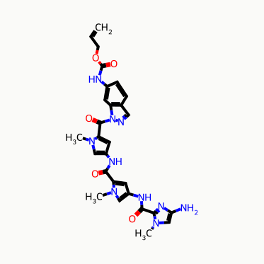 C=CCOC(=O)Nc1ccc2cnn(C(=O)c3cc(NC(=O)c4cc(NC(=O)c5nc(N)cn5C)cn4C)cn3C)c2c1